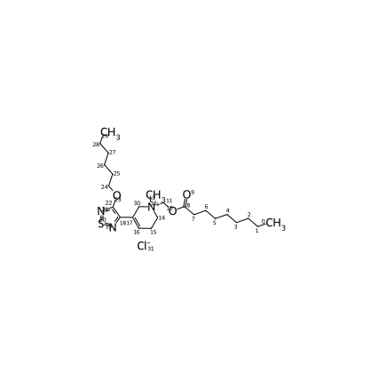 CCCCCCCCC(=O)OC[N+]1(C)CCC=C(c2nsnc2OCCCCCC)C1.[Cl-]